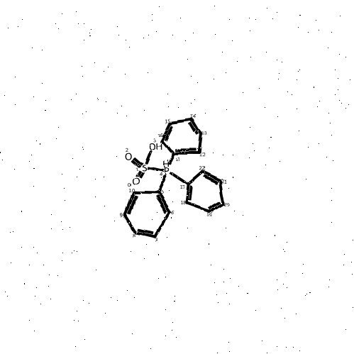 O=S(=O)(O)[PH](c1ccccc1)(c1ccccc1)c1ccccc1